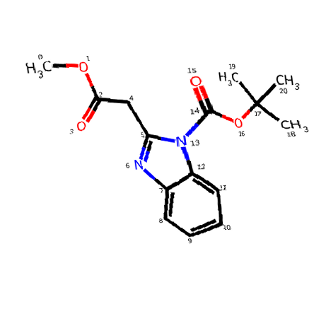 COC(=O)Cc1nc2ccccc2n1C(=O)OC(C)(C)C